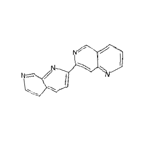 c1cnc2cc(-c3ccc4ccncc4n3)ncc2c1